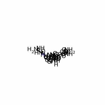 CC1OC(Oc2ccc(/C=C/C(=O)NCCC(=N)N)cc2)C(N=C(N)N)C(O)C1NC(=O)NC1OCC(OC2COC3NC(=O)N(C(N)=O)C3C2O)C(O)C1NC(N)=O